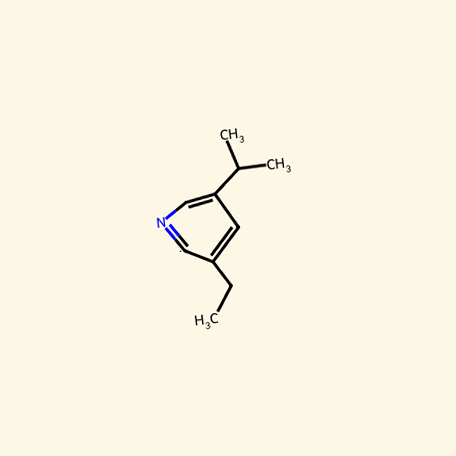 CCc1[c]ncc(C(C)C)c1